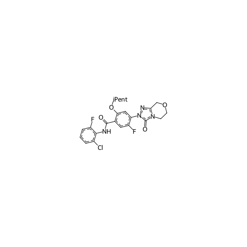 CCCC(C)Oc1cc(-n2nc3n(c2=O)CCOC3)c(F)cc1C(=O)Nc1c(F)cccc1Cl